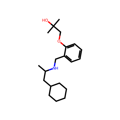 CC(CC1CCCCC1)NCc1ccccc1OCC(C)(C)O